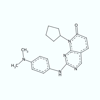 CN(C)c1ccc(Nc2ncc3ccc(=O)n(C4CCCC4)c3n2)cc1